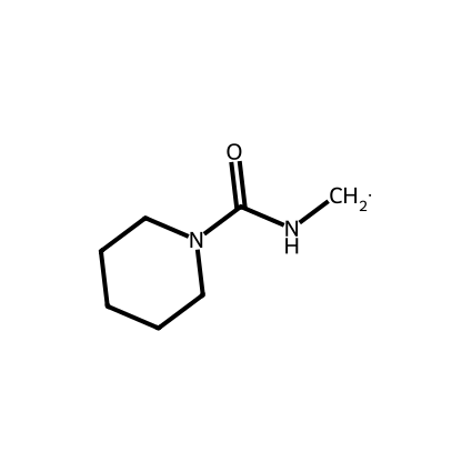 [CH2]NC(=O)N1CCCCC1